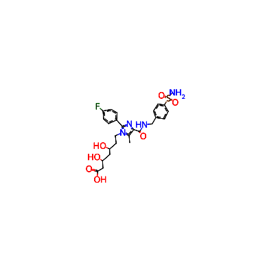 Cc1c(C(=O)NCc2ccc(S(N)(=O)=O)cc2)nc(-c2ccc(F)cc2)n1CCC(O)CC(O)CC(=O)O